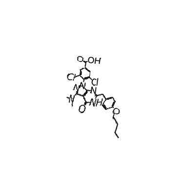 CCCCOc1ccc(Cc2nc3c(c(N(C)C)nn3-c3c(Cl)cc(C(=O)O)cc3Cl)c(=O)[nH]2)cc1